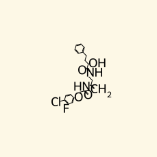 C=C(CCNC(=O)[C@H](O)CCc1ccccc1)NC(=O)COc1ccc(Cl)c(F)c1